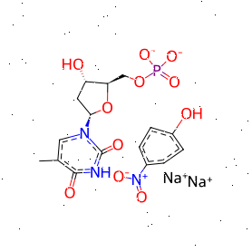 Cc1cn([C@H]2C[C@H](O)[C@@H](COP(=O)([O-])[O-])O2)c(=O)[nH]c1=O.O=[N+]([O-])c1ccc(O)cc1.[Na+].[Na+]